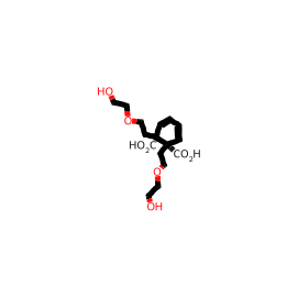 O=C(O)C1(CCOCCO)C=CC=CC1(CCOCCO)C(=O)O